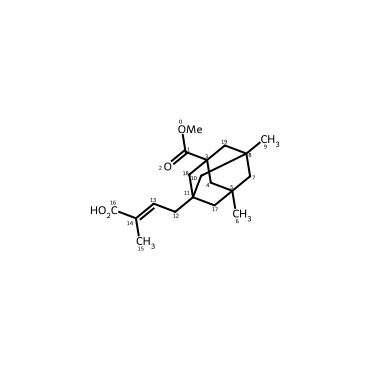 COC(=O)C12CC3(C)CC(C)(CC(CC=C(C)C(=O)O)(C3)C1)C2